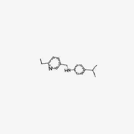 CCc1ccc(CNc2ccc(C(C)C)cc2)cn1